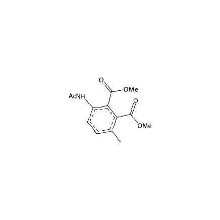 COC(=O)c1c(C)ccc(NC(C)=O)c1C(=O)OC